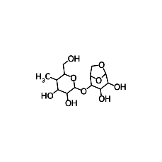 CC1C(CO)OC(OC2C3COC(O3)C(O)C2O)C(O)C1O